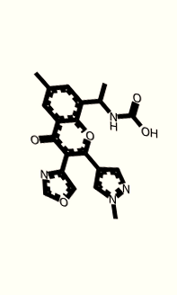 Cc1cc(C(C)NC(=O)O)c2oc(-c3cnn(C)c3)c(-c3cocn3)c(=O)c2c1